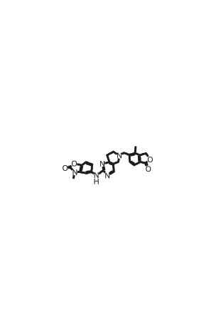 Cc1c(CN2CCc3nc(Nc4ccc5oc(=O)n(C)c5c4)ncc3C2)ccc2c1COC2=O